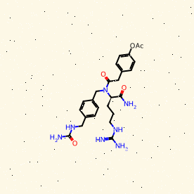 CC(=O)Oc1ccc(CC(=O)N(Cc2ccc(CNC(N)=O)cc2)[C@H](CCCNC(=N)N)C(N)=O)cc1